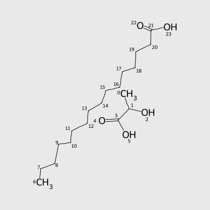 CC(O)C(=O)O.CCCCCCCCCCCCCCCC(=O)O